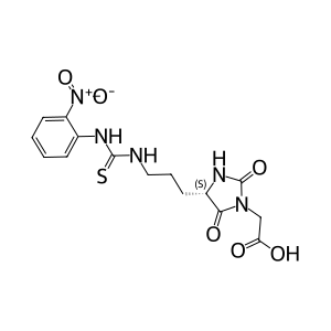 O=C(O)CN1C(=O)N[C@@H](CCCNC(=S)Nc2ccccc2[N+](=O)[O-])C1=O